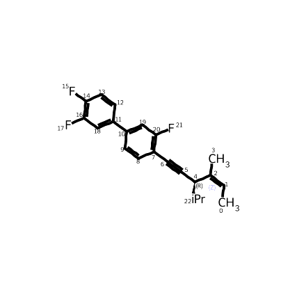 C/C=C(/C)[C@H](C#Cc1ccc(-c2ccc(F)c(F)c2)cc1F)C(C)C